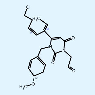 C/C=C(\C=C/CCCl)c1cc(=O)n(CC=O)c(=O)n1CC1=CC[C@H](OC)C=C1